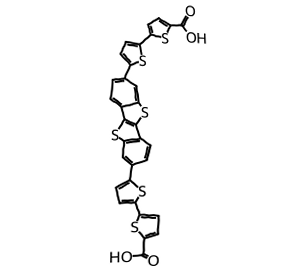 O=C(O)c1ccc(-c2ccc(-c3ccc4c(c3)sc3c5ccc(-c6ccc(-c7ccc(C(=O)O)s7)s6)cc5sc43)s2)s1